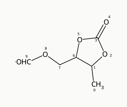 CC1OC(=O)OC1CO[C]=O